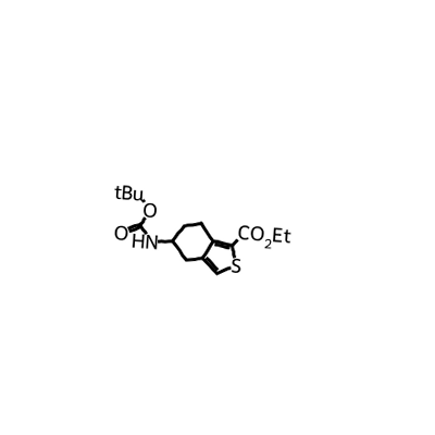 CCOC(=O)c1scc2c1CCC(NC(=O)OC(C)(C)C)C2